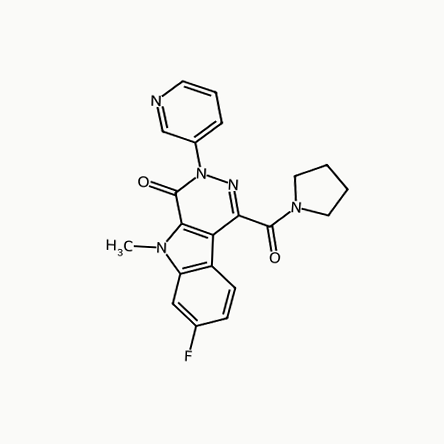 Cn1c2cc(F)ccc2c2c(C(=O)N3CCCC3)nn(-c3cccnc3)c(=O)c21